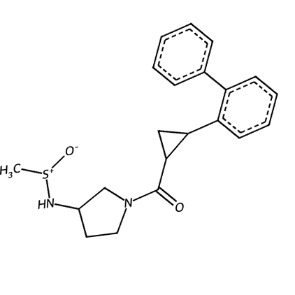 C[S+]([O-])NC1CCN(C(=O)C2CC2c2ccccc2-c2ccccc2)C1